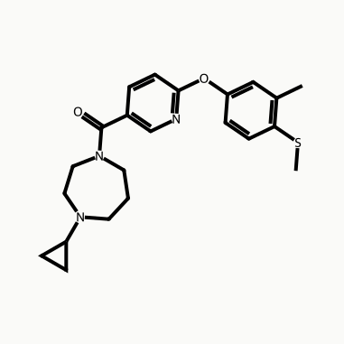 CSc1ccc(Oc2ccc(C(=O)N3CCCN(C4CC4)CC3)cn2)cc1C